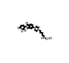 O=CNCCCCCN1CCN(c2ccc3c(c2)CN(C2CCC(=O)NC2=O)C3=O)CC1